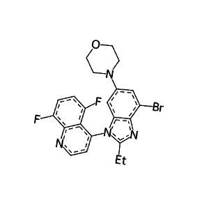 CCc1nc2c(Br)cc(N3CCOCC3)cc2n1-c1ccnc2c(F)ccc(F)c12